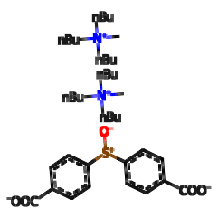 CCCC[N+](C)(CCCC)CCCC.CCCC[N+](C)(CCCC)CCCC.O=C([O-])c1ccc([S+]([O-])c2ccc(C(=O)[O-])cc2)cc1